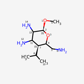 CO[C@H]1OC(CN)[C@@H](C(C)C)C(N)C1N